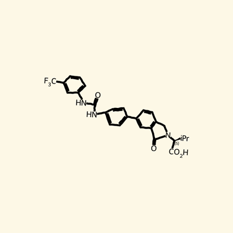 CC(C)[C@@H](C(=O)O)N1Cc2ccc(-c3ccc(NC(=O)Nc4cccc(C(F)(F)F)c4)cc3)cc2C1=O